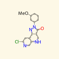 COc1cccc(-n2nc3c4cc(Cl)ncc4[nH]cc-3c2=O)c1